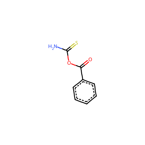 NC(=S)OC(=O)c1ccccc1